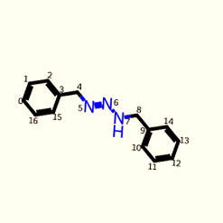 c1ccc(CN=NNCc2ccccc2)cc1